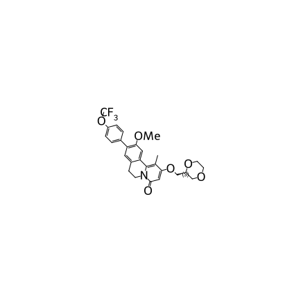 COc1cc2c(cc1-c1ccc(OC(F)(F)F)cc1)CCn1c-2c(C)c(OC[C@@H]2COCCO2)cc1=O